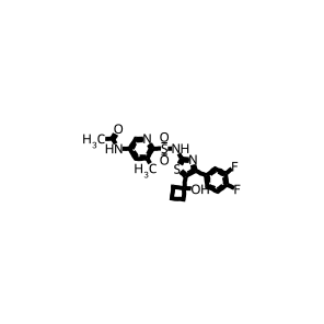 CC(=O)Nc1cnc(S(=O)(=O)Nc2nc(-c3ccc(F)c(F)c3)c(C3(O)CCC3)s2)c(C)c1